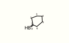 B=C1CCCCC1